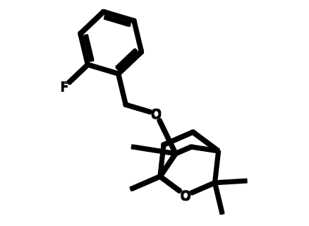 CC1(C)OC2(C)CCC1CC2(C)OCc1ccccc1F